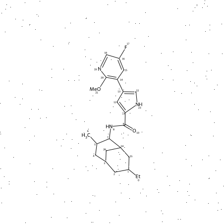 CCC1CC2CC(C)C(NC(=O)c3cc(-c4cc(F)cnc4OC)c[nH]3)C(C1)C2